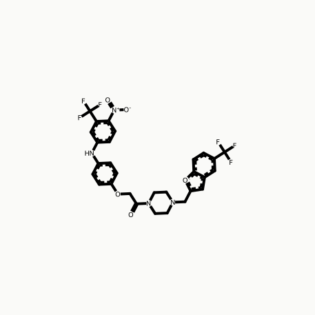 O=C(COc1ccc(Nc2ccc([N+](=O)[O-])c(C(F)(F)F)c2)cc1)N1CCN(Cc2cc3cc(C(F)(F)F)ccc3o2)CC1